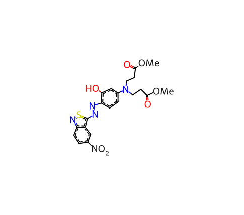 COC(=O)CCN(CCC(=O)OC)c1ccc(/N=N/c2snc3ccc([N+](=O)[O-])cc23)c(O)c1